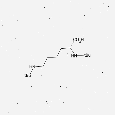 CC(C)(C)NCCCC[C@@H](NC(C)(C)C)C(=O)O